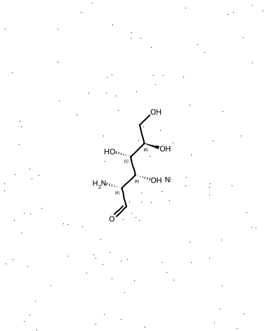 N[C@@H](C=O)[C@@H](O)[C@H](O)[C@H](O)CO.[N]